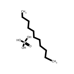 CCCCCCCCCCC.O=P(O)(O)O